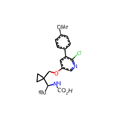 COc1ccc(-c2cc(OCC3(C(NC(=O)O)C(C)(C)C)CC3)cnc2Cl)cc1